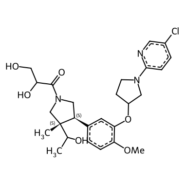 COc1ccc([C@@H]2CN(C(=O)C(O)CO)C[C@@]2(C)C(C)O)cc1OC1CCN(c2ccc(Cl)cn2)C1